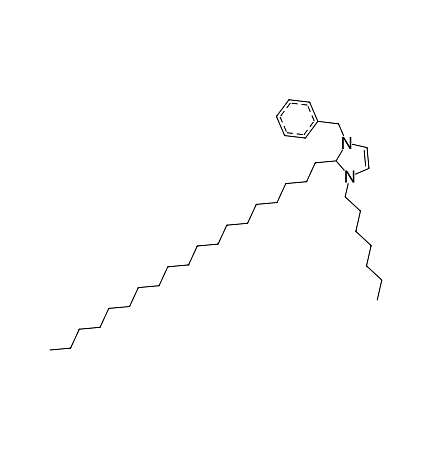 CCCCCCCCCCCCCCCCCCCC1N(CCCCCCC)C=CN1Cc1ccccc1